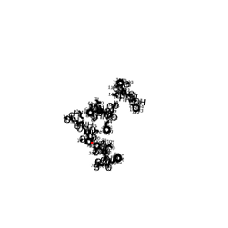 CCCC[C@H](NC(=O)c1cc(-c2c(OC)cccc2OC)n(CC(C)C)n1)C(=O)NCC(=O)OC.COC(=O)CNC(=O)[C@H](CCc1ccccc1)NC(=O)c1cc(-c2c(OC)cccc2OC)n(CC(C)C)n1.COC(=O)CNC(=O)[C@H](Cc1ccccc1)NC(=O)c1cc(-c2c(OC)cccc2OC)n(CC(C)C)n1.COc1cccc(OC)c1-c1cc(C(=O)N[C@@H](CC2CCCCC2)C(=O)O)nn1CC(C)C